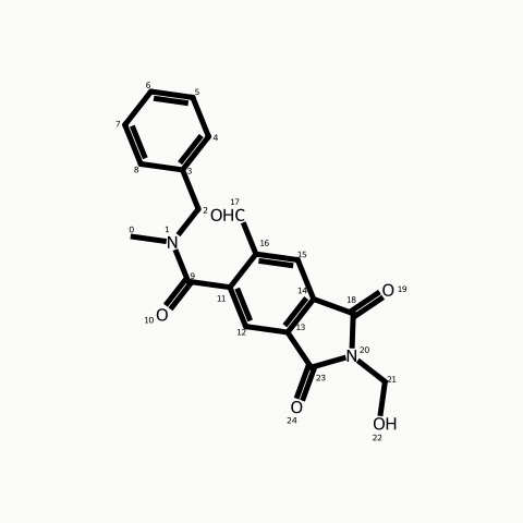 CN(Cc1ccccc1)C(=O)c1cc2c(cc1C=O)C(=O)N(CO)C2=O